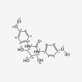 CCOc1ccc(NC(=S)Nc2ccc(OCC)cc2)cc1.OCC(O)CO